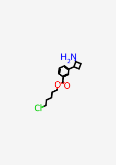 NC1CCC1c1cccc(C(=O)OCCCCCCl)c1